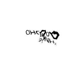 CC(C)[C@@H](N)c1nc(C=O)ccc1OCc1ccccc1